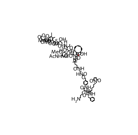 COC(=O)NC1=C2/C(=C\CSSC(C)(C)CCC(=O)NCCNC(=O)OCc3ccc(NC(=O)[C@H](CCCCN)NC(=O)[C@H](Cc4ccccc4)NC(=O)CCCCCN4C(=O)C=CC4=O)cc3)[C@](O)(C#C/C=C\C#C[C@@H]2OC2OC(C)C(NOC3CC(O)C(SC(=O)c4c(C)c(I)c(OC5OC6OC6C(OC)C5O)c(OC)c4OC)C(C)O3)C(O)C2OC2CC(OC)C(NC(C)=O)CO2)CC1=O